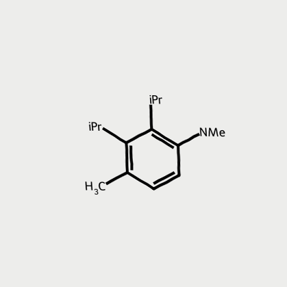 CNc1ccc(C)c(C(C)C)c1C(C)C